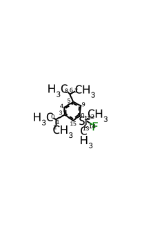 CC(C)c1cc(C(C)C)cc([Si](C)(C)F)c1